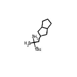 BC(B)(CC1CC2CCCC2C1)C(C)(C)C